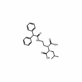 CC(C)C[C@@H](C(=O)O)N(CCNC(=O)C(c1ccccc1)c1ccccc1)C(=O)O